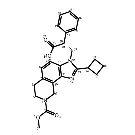 COC(=O)N1CCc2ccc3c(nc(C4CCC4)n3C[C@H](C(=O)O)c3ccccc3)c2C1